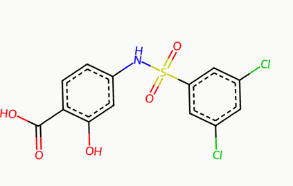 O=C(O)c1ccc(NS(=O)(=O)c2cc(Cl)cc(Cl)c2)cc1O